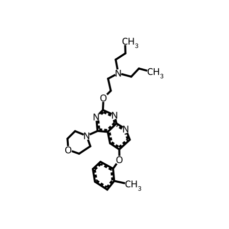 CCCN(CCC)CCOc1nc(N2CCOCC2)c2cc(Oc3ccccc3C)cnc2n1